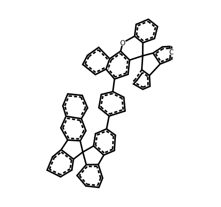 c1ccc2c(c1)Oc1c(cc(-c3ccc(-c4ccc5c(c4)C4(c6ccccc6-5)c5ccccc5-c5cc6ccccc6cc54)cc3)c3ccccc13)C21c2ccccc2-c2ccccc21